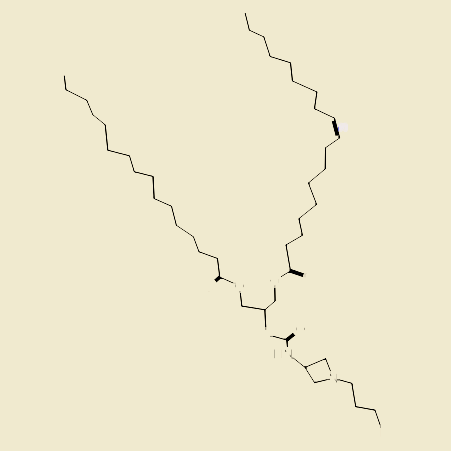 CCCCCCCC/C=C\CCCCCCCC(=O)OCC(COC(=O)CCCCCCCCCCCCCCC)OC(=O)NC1CN(CCCF)C1